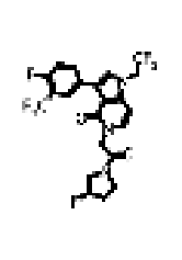 O=C(Cn1ccc2c(c(-c3ccc(F)c(C(F)(F)F)c3)cn2CC(F)(F)F)c1=O)N1CCC(F)C1